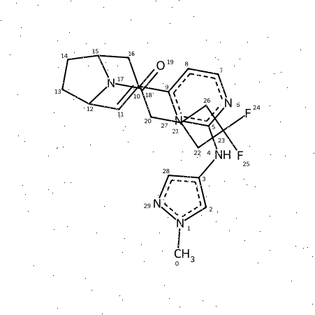 Cn1cc(Nc2nccc(C3=CC4CCC(C3)N4C(=O)CC3CC(F)(F)C3)n2)cn1